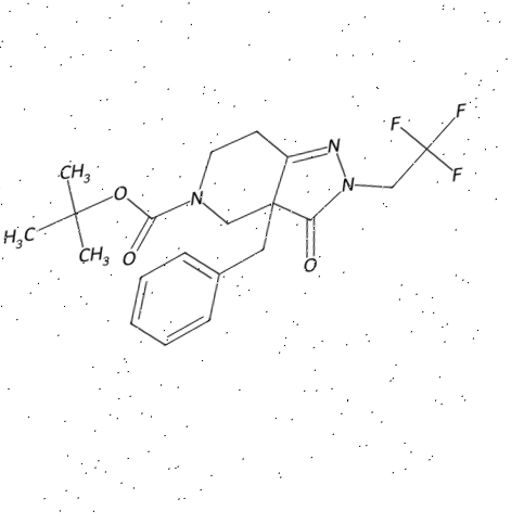 CC(C)(C)OC(=O)N1CCC2=NN(CC(F)(F)F)C(=O)C2(Cc2ccccc2)C1